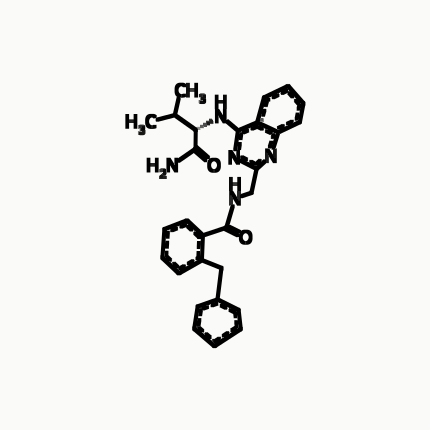 CC(C)[C@H](Nc1nc(CNC(=O)c2ccccc2Cc2ccccc2)nc2ccccc12)C(N)=O